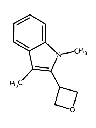 Cc1c(C2COC2)n(C)c2ccccc12